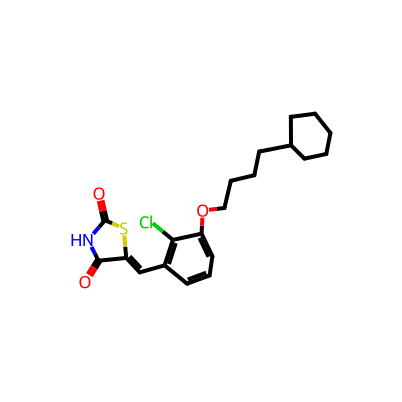 O=C1NC(=O)C(=Cc2cccc(OCCCCC3CCCCC3)c2Cl)S1